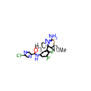 COC[C@]12CC1[C@@](C)(c1cc(NC(=O)c3cnc(Cl)cn3)cc(F)c1F)N=C(N)S2